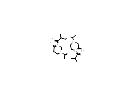 CC(=O)N1CCc2nnc(C(C)COC(C)N3CCn4c(nnc4C(C)C)C3)n2C1